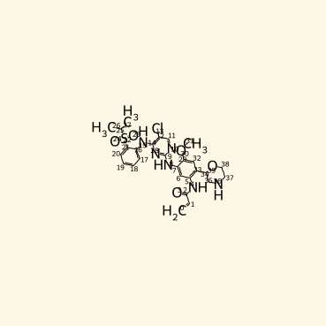 C=CC(=O)Nc1cc(Nc2ncc(Cl)c(Nc3ccccc3S(=O)(=O)C(C)C)n2)c(OC)cc1C1CNCCO1